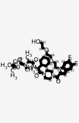 C[C@@H](C(=O)N[C@H](C(=O)N1CCN(C(=O)c2cc3cc(F)c(F)cc3n2CCOCCOCCO)CC1)C1CCCCC1)N(C)C(=O)OC(C)(C)C